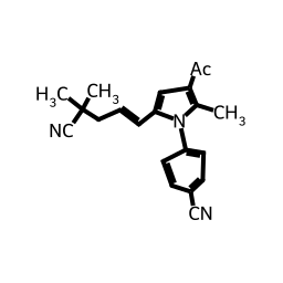 CC(=O)c1cc(C=CCC(C)(C)C#N)n(-c2ccc(C#N)cc2)c1C